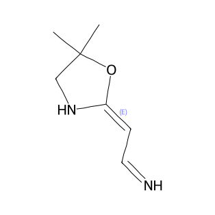 CC1(C)CN/C(=C\C=N)O1